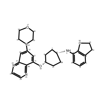 c1cc2c(c(N[C@H]3CC[C@@H](Oc4cc(N5CCOCC5)cc5nccnc45)CC3)c1)OCC2